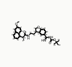 COc1ccc2c([C@H](C)C(=O)NCCC3COc4ccc(C(=N)NC(=O)OC(C)(C)C)cc43)cccc2c1